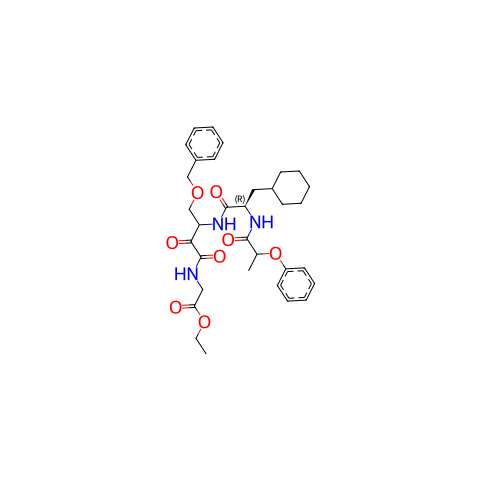 CCOC(=O)CNC(=O)C(=O)C(COCc1ccccc1)NC(=O)[C@@H](CC1CCCCC1)NC(=O)C(C)Oc1ccccc1